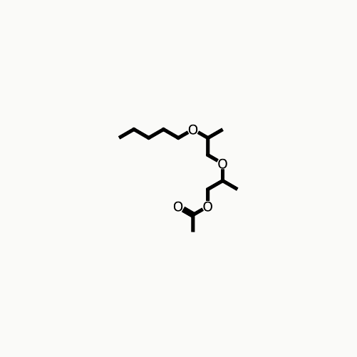 CCCCCOC(C)COC(C)COC(C)=O